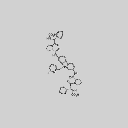 Cc1cccc(Cn2c3cc(NC(=O)[C@@H]4CCCN4C(=O)C(NC(=O)O)c4ccccc4)ccc3c3ccc(NC(=O)[C@@H]4CCCN4C(=O)C(NC(=O)O)c4ccccc4)cc32)n1